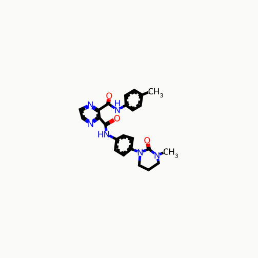 Cc1ccc(NC(=O)c2nccnc2C(=O)Nc2ccc(N3CCCN(C)C3=O)cc2)cc1